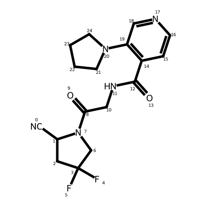 N#CC1CC(F)(F)CN1C(=O)CNC(=O)c1ccncc1N1CCCC1